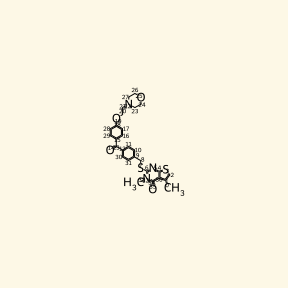 Cc1csc2nc(SCc3ccc(C(=O)c4ccc(OCCN5CCOCC5)cc4)cc3)n(C)c(=O)c12